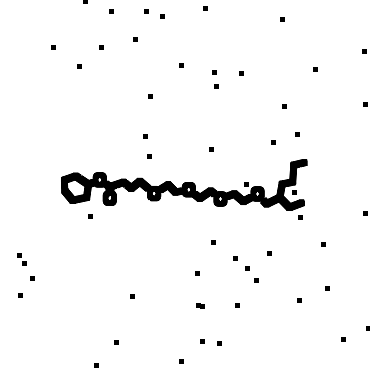 CCCCC(CC)COCCOCCOCCOCCCC(=O)OC1CCCCC1